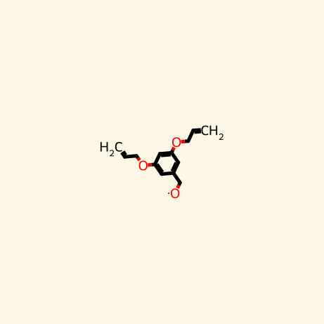 C=CCOc1cc(C[O])cc(OCC=C)c1